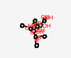 Oc1ccc(C2Oc3c(Br)c(O)c(C4c5c(OCc6ccccc6)cc(OCc6ccccc6)cc5OC(c5ccc(OCc6ccccc6)c(OCc6ccccc6)c5)C4O)c(O)c3CC2O)cc1O